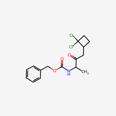 CC(NC(=O)OCc1ccccc1)C(=O)CC1CCC1(Cl)Cl